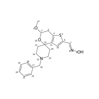 COC1Cc2sc(C=NO)cc2C2(CCN(Cc3ccccc3)CC2)O1